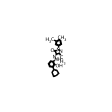 CC1=NN(c2ccc(C)c(C)c2)C(=O)/C1=N/Nc1cccc(C2CCCCC2)c1O